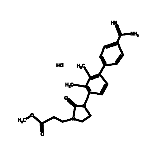 COC(=O)CCN1CCN(c2ccc(-c3ccc(C(=N)N)cc3)c(C)c2C)C1=O.Cl